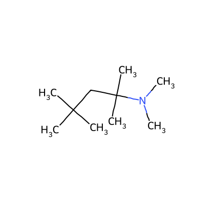 CN(C)C(C)(C)CC(C)(C)C